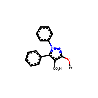 CCOc1nn(-c2ccccc2)c(-c2ccccc2)c1C(=O)O